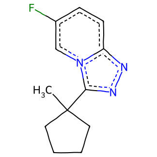 CC1(c2nnc3ccc(F)cn23)CCCC1